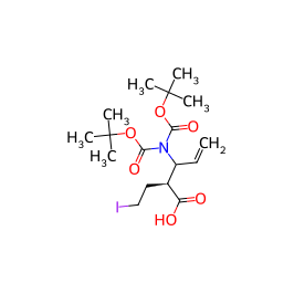 C=CC([C@H](CCI)C(=O)O)N(C(=O)OC(C)(C)C)C(=O)OC(C)(C)C